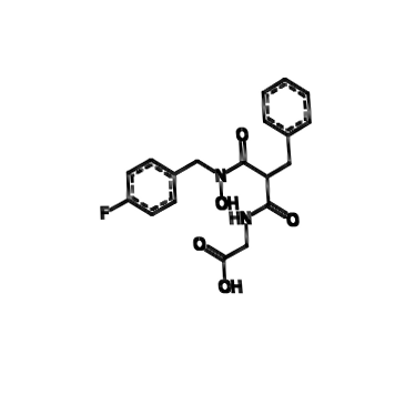 O=C(O)CNC(=O)C(Cc1ccccc1)C(=O)N(O)Cc1ccc(F)cc1